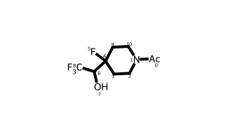 CC(=O)N1CCC(F)(C(O)C(F)(F)F)CC1